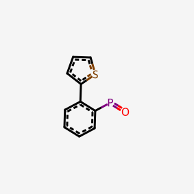 O=Pc1ccccc1-c1cccs1